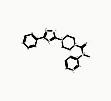 CN(C(=O)N1CCN(c2nc(-c3ccccc3)ns2)CC1)c1cccnc1